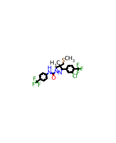 CSCC1(C)CN(C(=O)Nc2ccc(C(F)(F)F)cc2)N=C1c1ccc(C(F)(F)F)c(Cl)c1